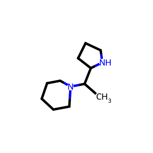 CC(C1CCCN1)N1CCCCC1